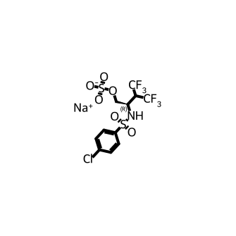 O=S(=O)([O-])OC[C@H](NS(=O)(=O)c1ccc(Cl)cc1)C(C(F)(F)F)C(F)(F)F.[Na+]